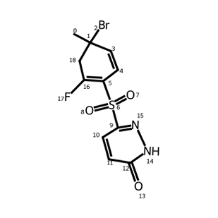 CC1(Br)C=CC(S(=O)(=O)c2ccc(=O)[nH]n2)=C(F)C1